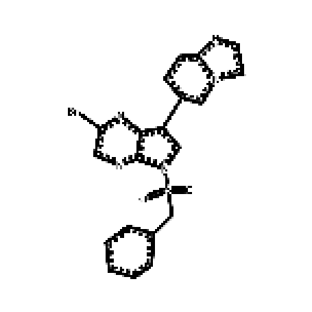 O=S(=O)(Cc1ccccc1)n1cc(-c2ccc3nccn3c2)c2nc(Br)cnc21